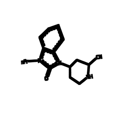 CCCn1c(=O)n(C2CCNC(C#N)C2)c2ccccc21